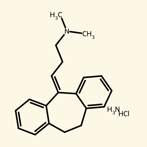 CN(C)CCC=C1c2ccccc2CCc2ccccc21.Cl.N